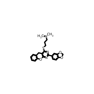 CN(C)CCCSc1nc(-c2ccc3c(c2)OCO3)nc2c1Cc1ccccc1O2